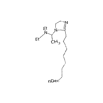 CCCCCCCCCCCCCCCCCC1=NCCN1C(C)N(CC)CC